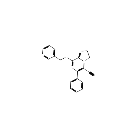 N#CC1=C(c2ccccc2)N=C(NCc2cccnc2)C2=NCCN21